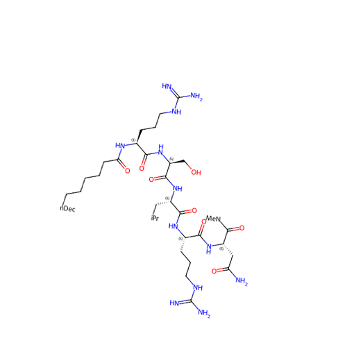 CCCCCCCCCCCCCCCC(=O)N[C@@H](CCCNC(=N)N)C(=O)N[C@@H](CO)C(=O)N[C@@H](CC(C)C)C(=O)N[C@@H](CCCNC(=N)N)C(=O)N[C@@H](CC(N)=O)C(=O)NC